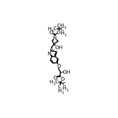 CC(C)(C)OC(=O)[C@H](O)COc1ccc2nn(CC3(O)CN(C(=O)OC(C)(C)C)C3)cc2c1